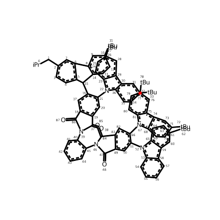 CC(C)Cc1ccc2c(c1)-c1cc(C(C)(C)C)ccc1C2c1cc2c(cc1-n1c3ccc(C(C)(C)C)cc3c3cc(C(C)(C)C)ccc31)C(=O)N(c1ccccc1N1C(=O)c3cc(-n4c5ccccc5c5cc(C(C)(C)C)ccc54)c(-n4c5ccc(C(C)(C)C)cc5c5cc(C(C)(C)C)ccc54)cc3C1=O)C2=O